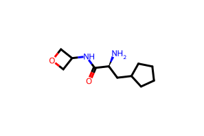 N[C@@H](CC1CCCC1)C(=O)NC1COC1